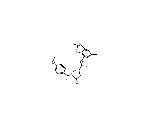 COc1ccc([C@@H](C)N2C[C@H]([C@@H](C)Oc3cc(C)cc4nc(C)sc34)CC2=O)cc1